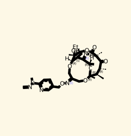 C=NN(C)c1ccc(CO/N=C2\CO[C@@H]3[C@@H](C)/C(=N/C(C)=O)[C@H](C)C[C@@](C)(OC2)[C@H](C)[C@@H](C)C(=O)[C@@H](C)C(=O)O[C@H](CC)[C@@]3(C)O)cn1